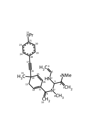 C=CNC(C(=C)NC)N(C)C(=C)C1=CCC(C)(C#Cc2ccc(CCC)cc2)C=C1